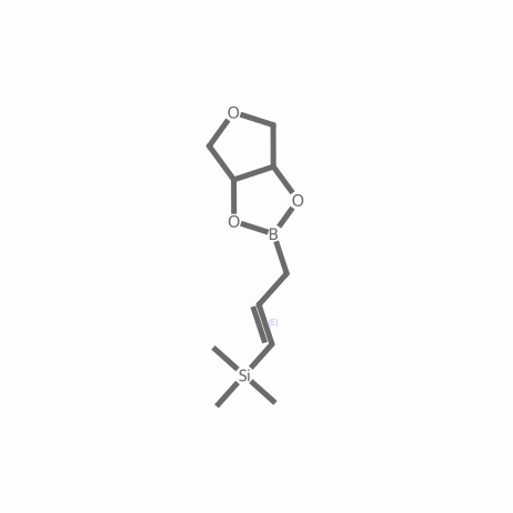 C[Si](C)(C)/C=C/CB1OC2COCC2O1